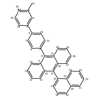 Cc1cc(-c2ccc(-c3c4ccccc4c(-c4cccc5ccccc45)c4ccccc34)cc2)ccn1